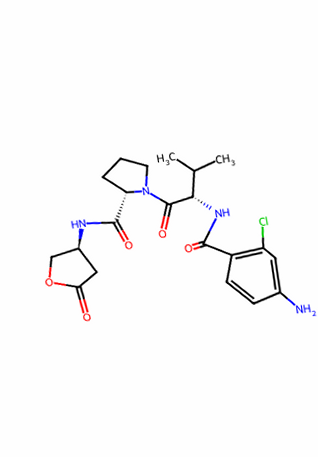 CC(C)[C@H](NC(=O)c1ccc(N)cc1Cl)C(=O)N1CCC[C@H]1C(=O)N[C@@H]1COC(=O)C1